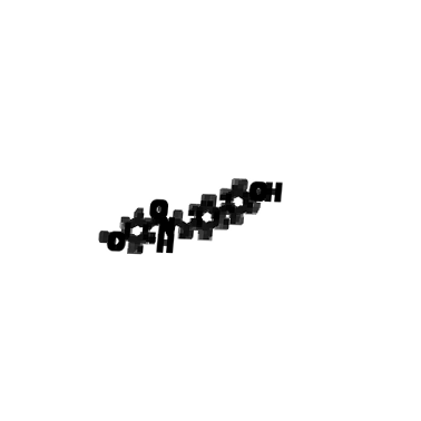 COc1ccc(C(=O)NCCc2ccc(-c3ccc(O)cc3)cc2)cc1